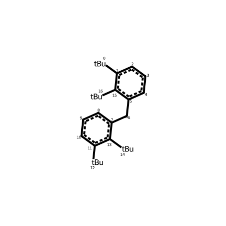 CC(C)(C)c1cccc([C]c2cccc(C(C)(C)C)c2C(C)(C)C)c1C(C)(C)C